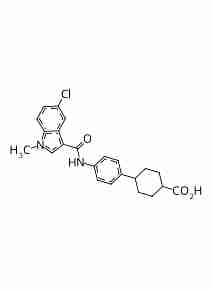 Cn1cc(C(=O)Nc2ccc(C3CCC(C(=O)O)CC3)cc2)c2cc(Cl)ccc21